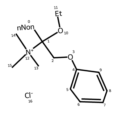 CCCCCCCCCC(COc1ccccc1)(OCC)[N+](C)(C)C.[Cl-]